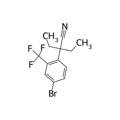 CCC(C#N)(CC)c1ccc(Br)cc1C(F)(F)F